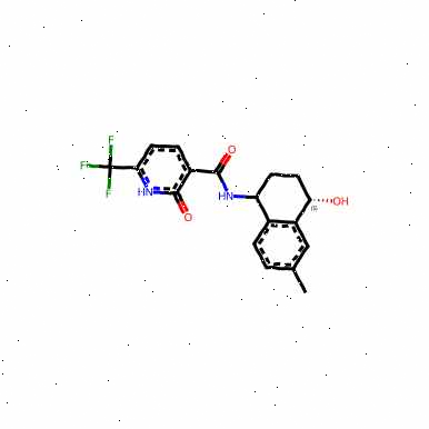 Cc1ccc2c(c1)[C@@H](O)CCC2NC(=O)c1ccc(C(F)(F)F)[nH]c1=O